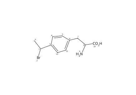 CC(Br)c1ccc(CC(N)C(=O)O)cc1